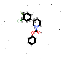 O=C(Oc1ccccc1)N1C=CC[C@@H](c2ccc(F)c(Cl)c2)C1